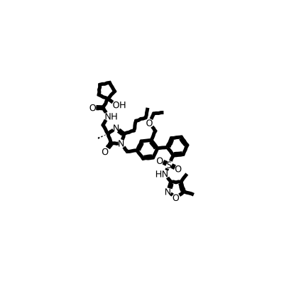 CCCCC1=N[C@](C)(CNC(=O)C2(O)CCCC2)C(=O)N1Cc1ccc(-c2ccccc2S(=O)(=O)Nc2noc(C)c2C)c(COCC)c1